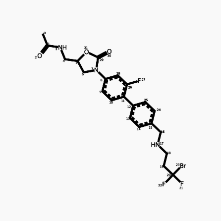 CC(=O)NCC1CN(c2ccc(-c3ccc(CNCCC(F)(F)Br)cc3)c(F)c2)C(=O)O1